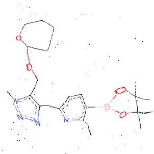 Cc1nc(-c2nnn(C)c2COC2CCCCO2)ccc1B1OC(C)(C)C(C)(C)O1